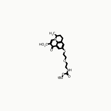 CC1CCc2cc(SCCOCCNC(=O)OC(C)(C)C)cc3c(=O)c(C(=O)O)cn1c23